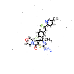 C[C@]1(c2cc(/C=C(\F)c3ccc(C#N)cn3)ccc2F)N=C(N)S[C@@]2(C(=O)N3CCOCC3)C=C21